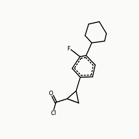 O=C(Cl)C1CC1c1ccc(C2CCCCC2)c(F)c1